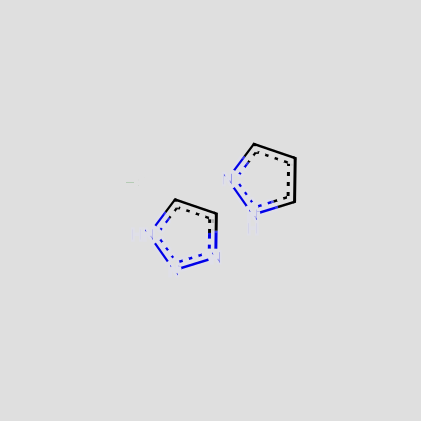 Cl.c1c[nH]nn1.c1cn[nH]c1